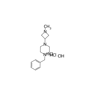 CN1CC(N2CCN(Cc3ccccc3)CC2)C1.Cl.Cl.Cl